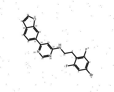 Fc1cc(Br)cc(F)c1CCNc1cc(-c2ccc3ccoc3c2)ncn1